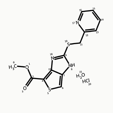 COC(=O)c1scc2[nH]c(SCc3ccccn3)nc12.Cl.O